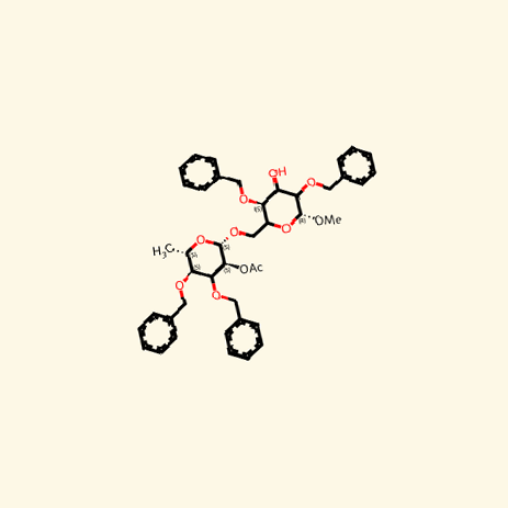 CO[C@@H]1OC(CO[C@H]2O[C@@H](C)[C@H](OCc3ccccc3)C(OCc3ccccc3)[C@@H]2OC(C)=O)[C@@H](OCc2ccccc2)C(O)C1OCc1ccccc1